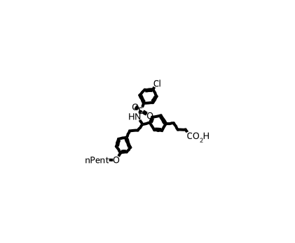 CCCCCOc1ccc(CCC(NS(=O)(=O)c2ccc(Cl)cc2)c2ccc(CCCC(=O)O)cc2)cc1